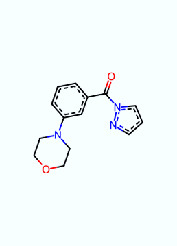 O=C(c1cccc(N2CCOCC2)c1)n1cccn1